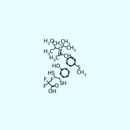 CC(C)[SiH](C(C)C)C(C)C.CSc1ccccc1.O.O=C(O)C(F)(F)F.Oc1ccccc1.SCCS